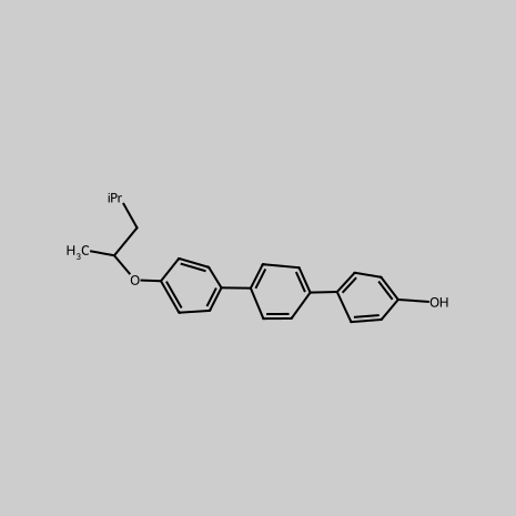 CC(C)CC(C)Oc1ccc(-c2ccc(-c3ccc(O)cc3)cc2)cc1